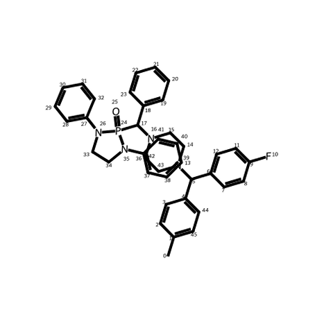 Cc1ccc(C(c2ccc(F)cc2)N2CCN(C(c3ccccc3)P3(=O)N(c4ccccc4)CCN3c3ccccc3)CC2)cc1